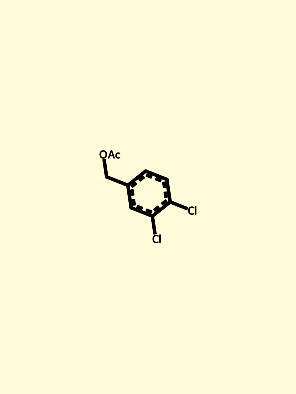 CC(=O)OCc1ccc(Cl)c(Cl)c1